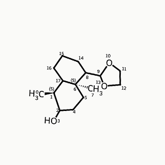 C[C@@H]1C(O)CC[C@]2(C)C(C3OCCO3)CCCC12